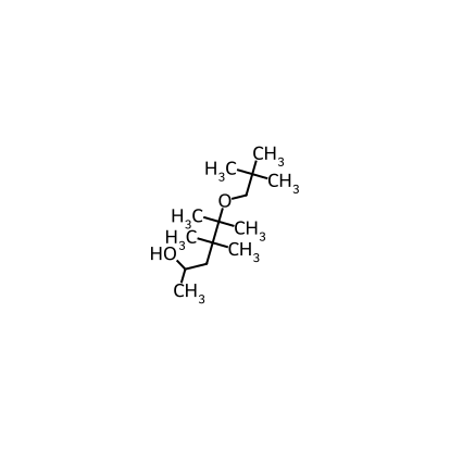 CC(O)CC(C)(C)C(C)(C)OCC(C)(C)C